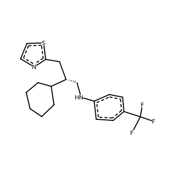 FC(F)(F)c1ccc(NC[C@@H](Cc2nccs2)C2CCCCC2)cc1